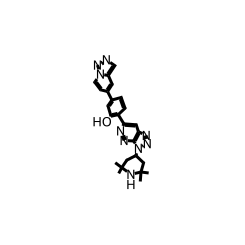 CC1(C)CC(n2nnc3cc(-c4ccc(-c5ccn6nncc6c5)cc4O)nnc32)CC(C)(C)N1